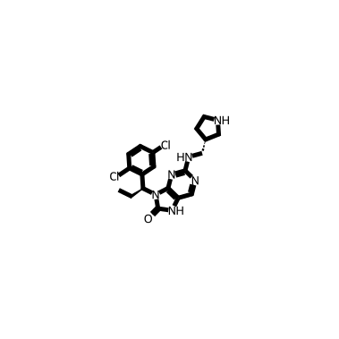 CC[C@@H](c1cc(Cl)ccc1Cl)n1c(=O)[nH]c2cnc(NC[C@@H]3CCNC3)nc21